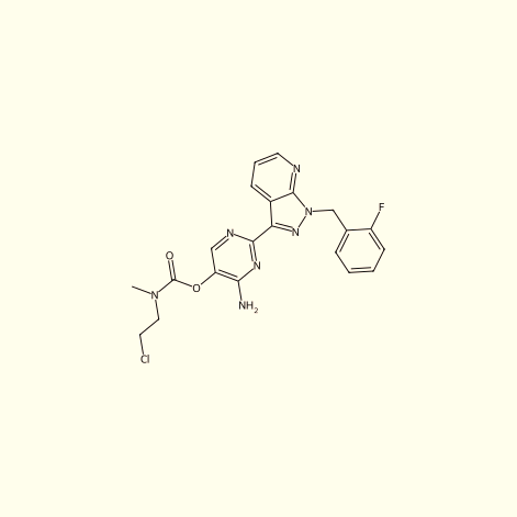 CN(CCCl)C(=O)Oc1cnc(-c2nn(Cc3ccccc3F)c3ncccc23)nc1N